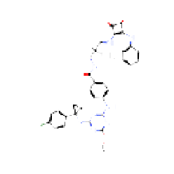 CC(C)(CNC(=O)c1ccc(Nc2nc(NC3(c4ccc(Cl)cc4)CC3)nc(OCC(F)(F)F)n2)cc1)CNc1c(Nc2ccccc2)c(=O)c1=O